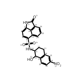 O=C1Nc2ccc(S(=O)(=O)NC3CCc4cc([N+](=O)[O-])ccc4C3O)c3cccc1c23